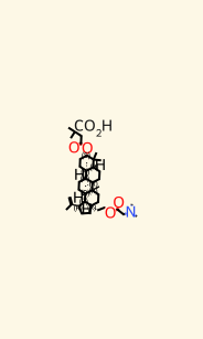 C=C(C)[C@@H]1CC[C@]2(CCOC(=O)CN(C)C)CC[C@]3(C)[C@H](CC[C@@H]4[C@@]5(C)CC[C@H](OC(=O)CC(C)(C)C(=O)O)C(C)(C)[C@@H]5CC[C@]43C)[C@@H]12